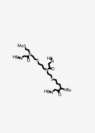 B=NCC(=O)C(CCCC)CCCSCCN(CCCSCCN(CCSC)C(=O)CN=B)C(=O)CN=B